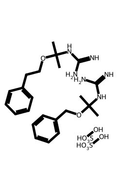 CC(C)(NC(=N)N)OCCc1ccccc1.CC(C)(NC(=N)N)OCc1ccccc1.O=S(=O)(O)O.O=S(=O)(O)O